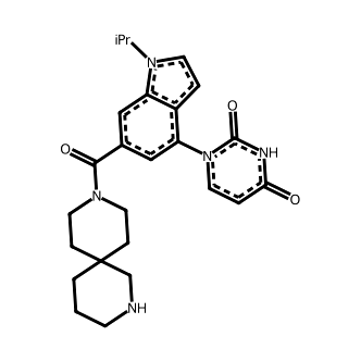 CC(C)n1ccc2c(-n3ccc(=O)[nH]c3=O)cc(C(=O)N3CCC4(CCCNC4)CC3)cc21